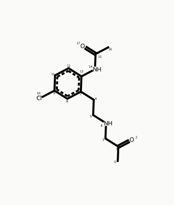 CC(=O)CNCCc1cc(Cl)ccc1NC(C)=O